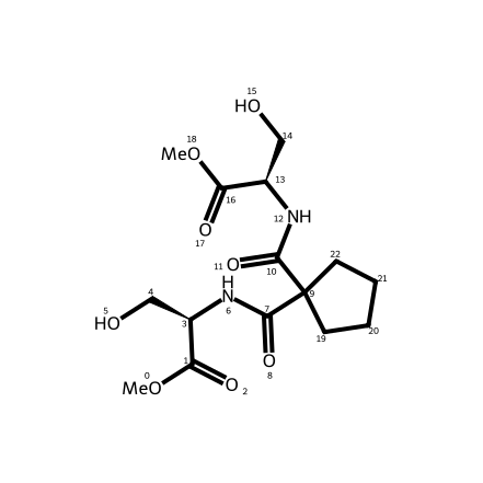 COC(=O)[C@@H](CO)NC(=O)C1(C(=O)N[C@H](CO)C(=O)OC)CCCC1